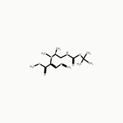 C=N/C=C(/C(=O)OC)N(C)[C@@H](C)CNC(=O)OC(C)(C)C